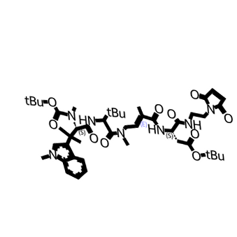 C/C(=C\CN(C)C(=O)C(NC(=O)[C@@H](N(C)C(=O)OC(C)(C)C)C(C)(C)c1cn(C)c2ccccc12)C(C)(C)C)C(=O)N[C@@H](CC(=O)OC(C)(C)C)C(=O)NCCN1C(=O)C=CC1=O